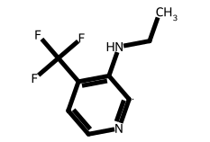 CCNc1[c]nccc1C(F)(F)F